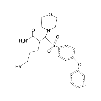 NC(=O)C(CCCS)C(N1CCOCC1)S(=O)(=O)c1ccc(Oc2ccccc2)cc1